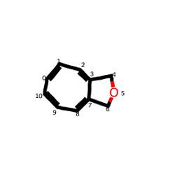 C1=C\C=C2\COC\C2=C\C=C/1